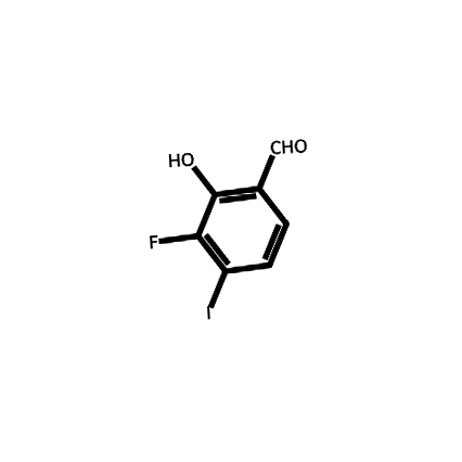 O=Cc1ccc(I)c(F)c1O